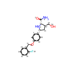 NC(=O)[C@H]1N[C@@H](c2ccc(OCc3ccccc3F)cc2)C[C@@H]1CO